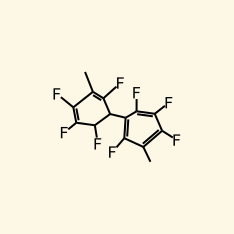 CC1=C(F)C(c2c(F)c(C)c(F)c(F)c2F)C(F)C(F)=C1F